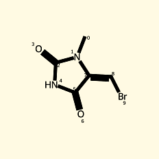 CN1C(=O)NC(=O)/C1=C\Br